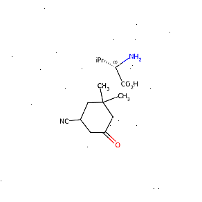 CC(C)[C@H](N)C(=O)O.CC1(C)CC(=O)CC(C#N)C1